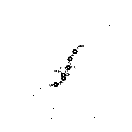 Cc1cc(N=Nc2c(SOOO)cc3cc(NCOc4ccc(N)cc4)ccc3c2O)c(C)cc1N=Nc1ccc(N=Nc2ccc(SOOO)cc2)cc1